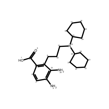 Nc1ccc(C(=O)O)c(CCCN(C2CCCCC2)C2CCCCC2)c1N